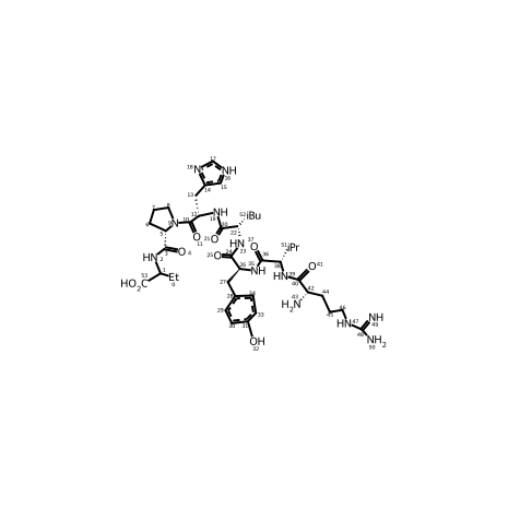 CCC(NC(=O)[C@@H]1CCCN1C(=O)[C@H](Cc1c[nH]cn1)NC(=O)[C@@H](NC(=O)[C@H](Cc1ccc(O)cc1)NC(=O)[C@@H](NC(=O)[C@@H](N)CCCNC(=N)N)C(C)C)[C@@H](C)CC)C(=O)O